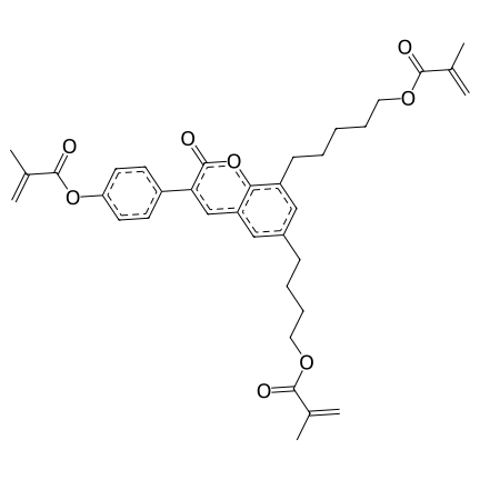 C=C(C)C(=O)OCCCCCc1cc(CCCCOC(=O)C(=C)C)cc2cc(-c3ccc(OC(=O)C(=C)C)cc3)c(=O)oc12